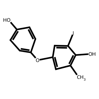 Cc1cc(Oc2ccc(O)cc2)cc(I)c1O